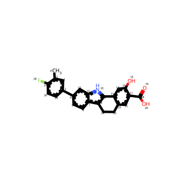 Cc1cc(-c2ccc3c4c([nH]c3c2)-c2cc(O)c(C(=O)O)cc2CC4)ccc1F